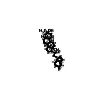 C[C@@]1(O)CC[C@@]2(C)[C@H](CC[C@@H]3[C@@H]2CC[C@]2(C)[C@@H](C(=O)Cn4ccc5cc(F)ccc54)CC[C@@H]32)C1